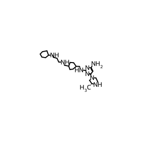 C[C@@H]1CN(c2cc(N)nc(NCC3CCC(CNCCCNC4CCCCC4)CC3)n2)CCN1